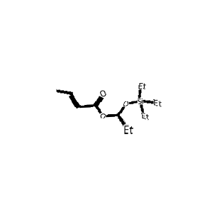 C/C=C/C(=O)OC(CC)O[Si](CC)(CC)CC